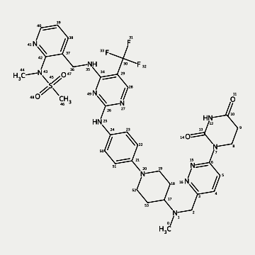 CN(Cc1ccc(N2CCC(=O)NC2=O)nn1)C1CCN(c2ccc(Nc3ncc(C(F)(F)F)c(NCc4cccnc4N(C)S(C)(=O)=O)n3)cc2)CC1